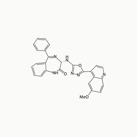 COc1ccc2nccc(-c3nnc(N[C@H]4N=C(c5ccccc5)c5ccccc5NC4=O)o3)c2c1